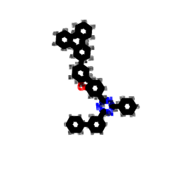 c1ccc(-c2cccc(-c3nc(-c4ccccc4)nc(-c4ccc5c(c4)oc4ccc(-c6ccc7c8ccccc8c8ccccc8c7c6)cc45)n3)c2)cc1